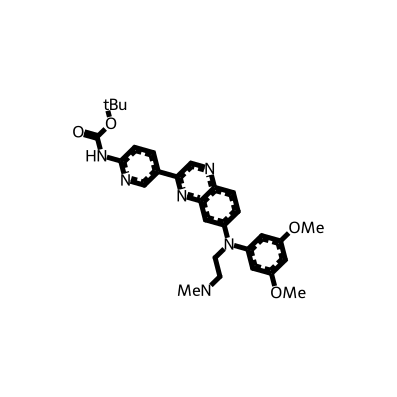 CNCCN(c1cc(OC)cc(OC)c1)c1ccc2ncc(-c3ccc(NC(=O)OC(C)(C)C)nc3)nc2c1